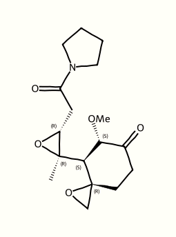 CO[C@@H]1C(=O)CC[C@]2(CO2)[C@H]1[C@@]1(C)O[C@@H]1CC(=O)N1CCCC1